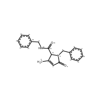 CC1=CC(=O)N(Cc2ccccc2)C1C(=O)NCc1ccccc1